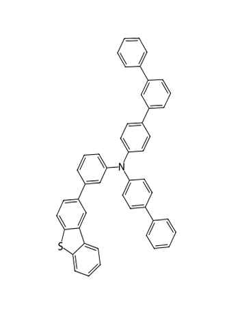 c1ccc(-c2ccc(N(c3ccc(-c4cccc(-c5ccccc5)c4)cc3)c3cccc(-c4ccc5sc6ccccc6c5c4)c3)cc2)cc1